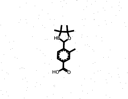 Cc1cc(C(=O)O)ccc1C1BC(C)(C)C(C)(C)O1